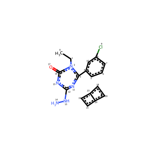 CCn1c(-c2cccc(Cl)c2)nc(NN)nc1=O.c1cc2ccc1-2